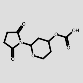 O=C(O)OC1CCOC(N2C(=O)CCC2=O)C1